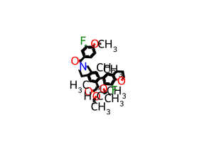 CCOC(=O)[C@@H](OC(C)(C)C)c1c(C)c2c(c(C)c1-c1cc(F)c3c(c1C)CCCO3)CN(C(=O)c1ccc(OC)c(F)c1)CC2